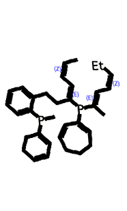 C/C=C\C=C(/CCc1ccccc1P(C)C1=CC=CCC1)P(C1=CCCCC=C1)/C(C)=C/C=C\CC